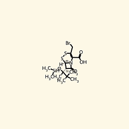 C[SiH](C)OC(C)([C@H]1C(=O)N2C(C(=O)O)=C(CBr)SS[C@H]12)C(C)(C)C